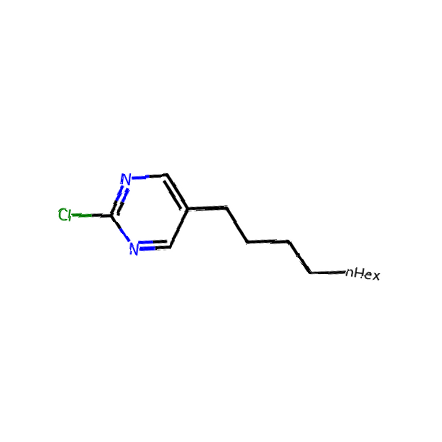 CCCCCCCCCCc1cnc(Cl)nc1